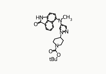 CN(c1cnn(C2CCN(C(=O)OC(C)(C)C)CC2)c1)c1ccc2c3c(cccc13)C(=O)N2